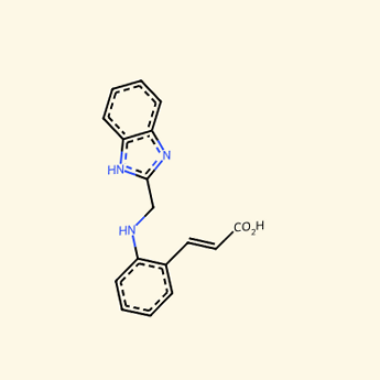 O=C(O)/C=C/c1ccccc1NCc1nc2ccccc2[nH]1